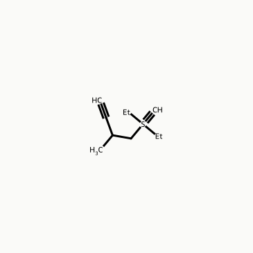 C#CC(C)CS(#C)(CC)CC